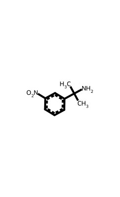 CC(C)(N)c1cccc([N+](=O)[O-])c1